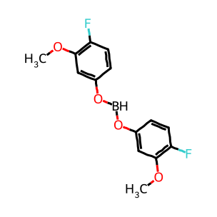 COc1cc(OBOc2ccc(F)c(OC)c2)ccc1F